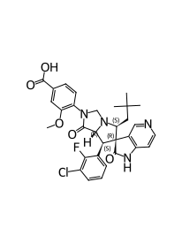 COc1cc(C(=O)O)ccc1N1CN2[C@@H](CC(C)(C)C)[C@@]3(C(=O)Nc4ccncc43)[C@@H](c3cccc(Cl)c3F)[C@@H]2C1=O